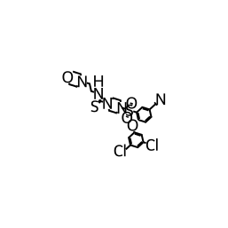 N#Cc1ccc(Oc2cc(Cl)cc(Cl)c2)c(S(=O)(=O)N2CCN(C(=S)NCCN3CCOCC3)CC2)c1